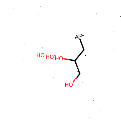 OCC(O)[CH2][Al+2].[OH-].[OH-]